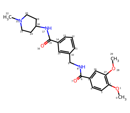 COc1ccc(C(=O)NCc2cccc(C(=O)NC3CCN(C)CC3)c2)cc1OC